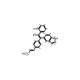 CCC(=C(c1ccc(C=CC(=O)O)cc1)c1ccc2[nH]ncc2c1)c1ccccc1F